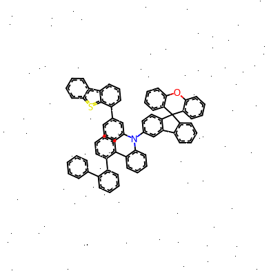 c1ccc(-c2ccccc2-c2ccccc2-c2ccccc2N(c2cccc(-c3cccc4c3sc3ccccc34)c2)c2ccc3c(c2)-c2ccccc2C32c3ccccc3Oc3ccccc32)cc1